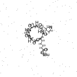 C[C@H]1NC(=O)[C@@H](Cc2cccnc2)NC(=O)C[C@@H](CCCCC(=O)OC(C)(C)C)OC(=O)CNC(=O)C2(CC2)NC1=O